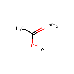 CC(=O)O.[SrH2].[Y]